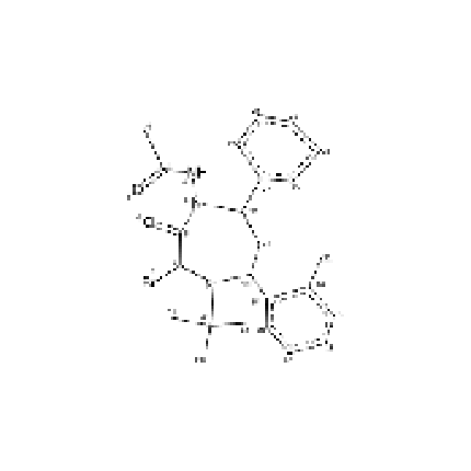 CC(=O)NN1C(=O)C(Br)C(C(C)(C)C)C(c2ccccc2C)CC1c1ccccc1